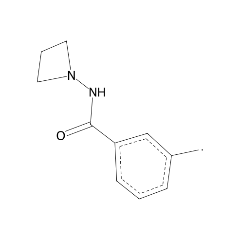 [CH2]c1cccc(C(=O)NN2CCC2)c1